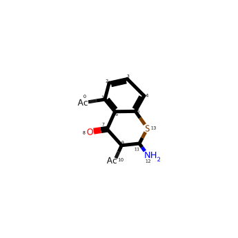 CC(=O)c1cccc2c1C(=O)C(C(C)=O)C(N)S2